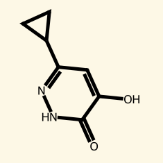 O=c1[nH]nc(C2CC2)cc1O